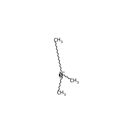 CCCCCCCCCCCCCCCCCCC[n+]1ccn(CCCCCCCCC)c1CCCCCC